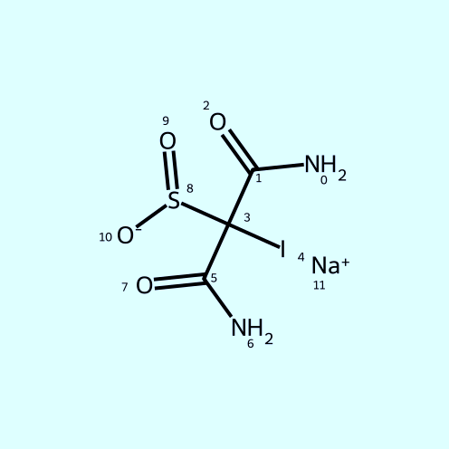 NC(=O)C(I)(C(N)=O)S(=O)[O-].[Na+]